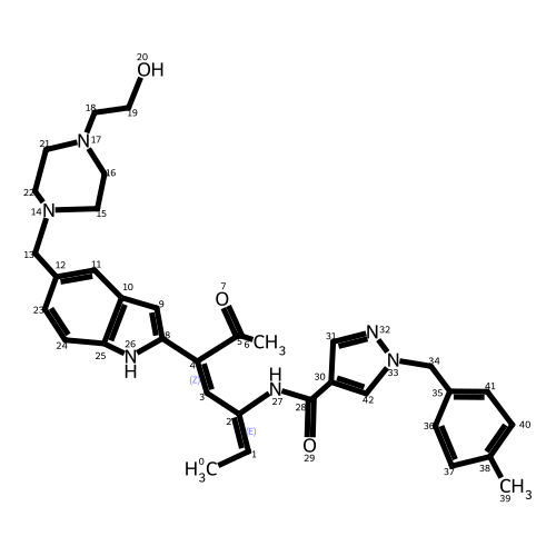 C/C=C(\C=C(/C(C)=O)c1cc2cc(CN3CCN(CCO)CC3)ccc2[nH]1)NC(=O)c1cnn(Cc2ccc(C)cc2)c1